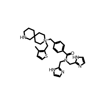 Cc1ccsc1C[N+]1(Cc2ccc(C(=O)N(Cc3ncc[nH]3)Cc3ncc[nH]3)cc2)CCC2(CCCNC2)CC1